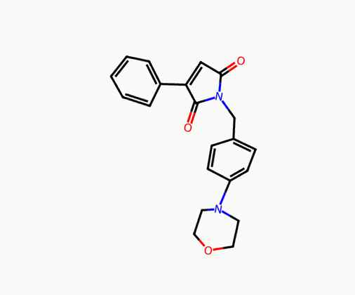 O=C1C=C(c2ccccc2)C(=O)N1Cc1ccc(N2CCOCC2)cc1